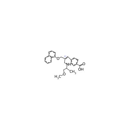 COCC(C)NC/C(=C\c1ccc(C(=O)O)cc1)COc1cccc2ccccc12